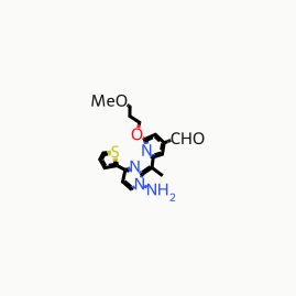 COCCCOc1cc(C=O)cc(/C(C)=C2\N=C(c3cccs3)C=CN2N)n1